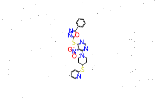 O=[N+]([O-])c1c(Sc2nnc(-c3ccccc3)o2)ncnc1N1CCC(Sc2ccccn2)CC1